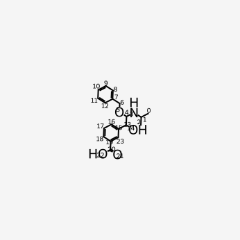 CC(C)NC(OCc1ccccc1)C(O)c1cccc(C(=O)O)c1